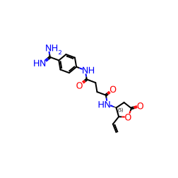 C=CC1OC(=O)C[C@@H]1NC(=O)CCC(=O)Nc1ccc(C(=N)N)cc1